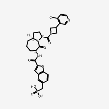 O=C(N[C@H]1CCC[C@H]2CC[C@@H](C(=O)N3CC(c4cnccc4Cl)C3)N2C1=O)c1cc2cc(CP(=O)(O)O)ccc2s1